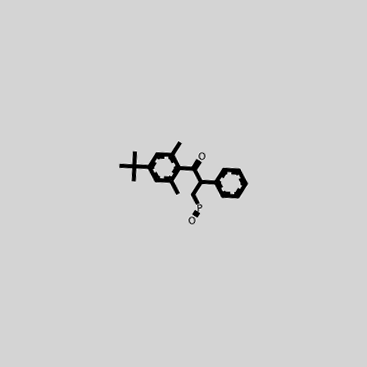 Cc1cc(C(C)(C)C)cc(C)c1C(=O)C(CP=O)c1ccccc1